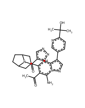 CC(=O)c1c(C2CC3CCC(C2)N3C(=O)c2cnn[nH]2)nc2c(-c3ccc(C(C)(C)O)nc3)cnn2c1N